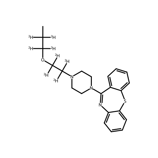 [2H]C([2H])(C)C([2H])([2H])OC([2H])([2H])C([2H])([2H])N1CCN(C2=Nc3ccccc3Sc3ccccc32)CC1